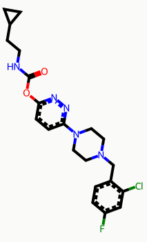 O=C(NCCC1CC1)Oc1ccc(N2CCN(Cc3ccc(F)cc3Cl)CC2)nn1